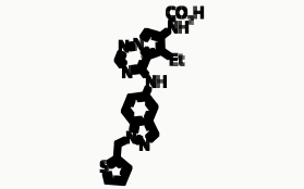 CCc1c(NC(=O)O)cn2ncnc(Nc3ccc4c(cnn4Cc4cccs4)c3)c12